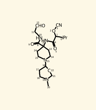 CC(C)C(OC#N)C(=O)NC1(C(=O)NCC=O)CCN(C2CCN(C)CC2)CC1